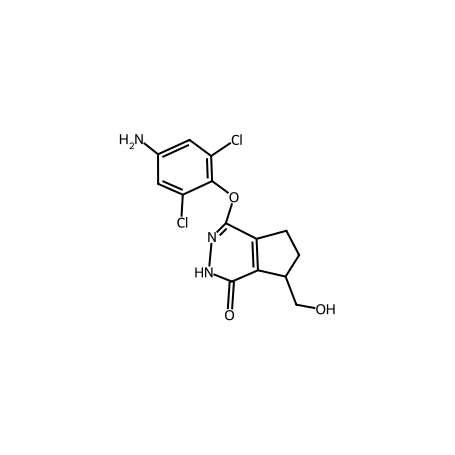 Nc1cc(Cl)c(Oc2n[nH]c(=O)c3c2CCC3CO)c(Cl)c1